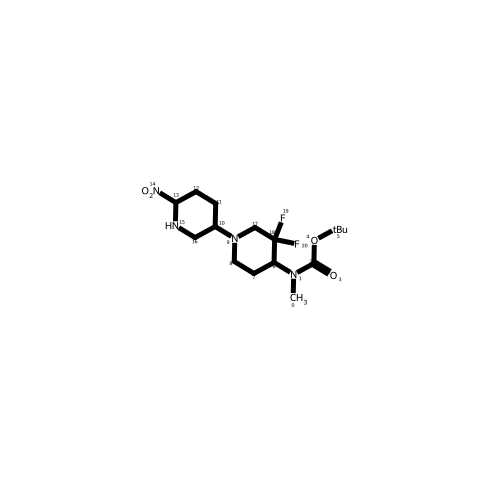 CN(C(=O)OC(C)(C)C)C1CCN(C2CCC([N+](=O)[O-])NC2)CC1(F)F